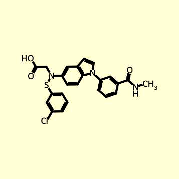 CNC(=O)c1cccc(-n2ccc3cc(N(CC(=O)O)Sc4cccc(Cl)c4)ccc32)c1